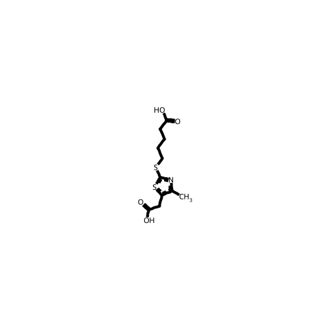 Cc1nc(SCCCCC(=O)O)sc1CC(=O)O